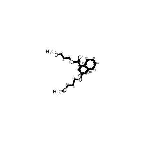 COCCCOC(=O)c1cc(OCCCOC)cc2ccccc12